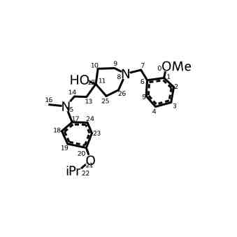 COc1ccccc1CN1CCC(O)(CCN(C)c2ccc(OC(C)C)cc2)CC1